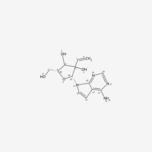 C=CC1(O)C(O)[C@@H](CO)O[C@H]1n1ccc2c(N)ncnc21